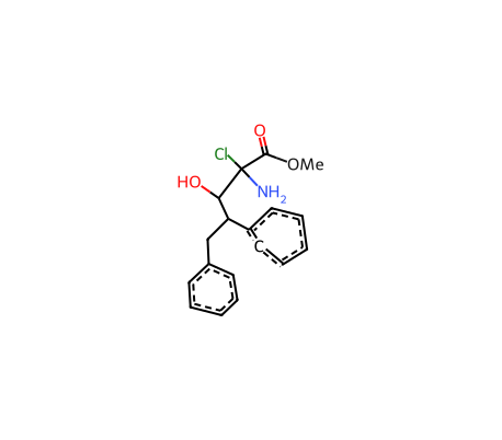 COC(=O)C(N)(Cl)C(O)C(Cc1ccccc1)c1ccccc1